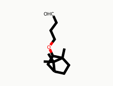 CC1(C)C2CCC1(C)C(OCCCC=O)C2